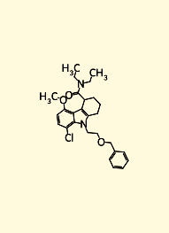 CCN(CC)C(=O)C1CCCc2c1c1c(OC)ccc(Cl)c1n2CCOCc1ccccc1